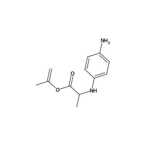 C=C(C)OC(=O)C(C)Nc1ccc(N)cc1